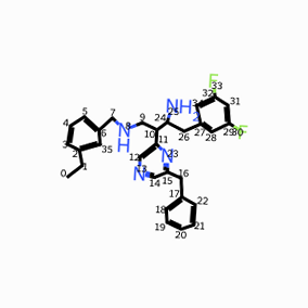 CCc1cccc(CNCC(c2cncc(Cc3ccccc3)n2)C(N)Cc2cc(F)cc(F)c2)c1